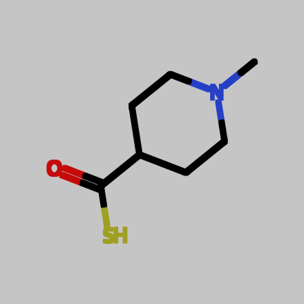 CN1CCC(C(=O)S)CC1